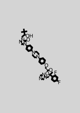 CC(C)(C)C(O)Cn1ncn(-c2ccc(N3CCN(c4ccc(OC[C@H]5OC[C@](Cn6cncn6)(c6ccc(F)cc6F)O5)cc4)CC3)cc2)c1=O